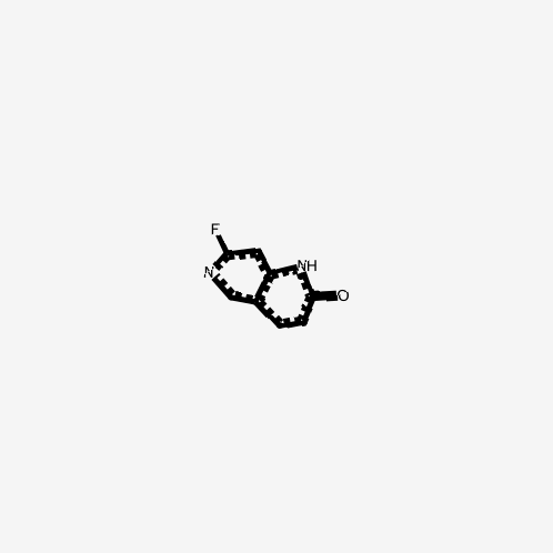 O=c1ccc2cnc(F)cc2[nH]1